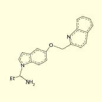 CCC(N)n1ccc2cc(OCc3ccc4ccccc4n3)ccc21